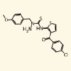 COc1ccc(CN(N)C(=S)Nc2sccc2C(=O)c2ccc(Cl)cc2)cc1